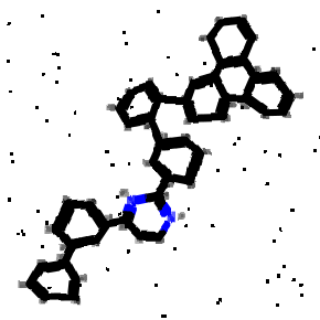 C1=Cc2c(c3cc(-c4ccccc4-c4cccc(-c5nccc(-c6cccc(-c7ccccc7)c6)n5)c4)ccc3c3ccccc23)CC1